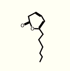 CCCCCCC1=CC=CCC(=O)O1